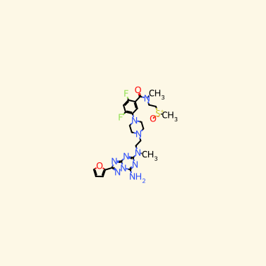 CN(CC[S@@+](C)[O-])C(=O)c1cc(N2CCN(CCN(C)c3nc(N)n4nc(-c5ccco5)nc4n3)CC2)c(F)cc1F